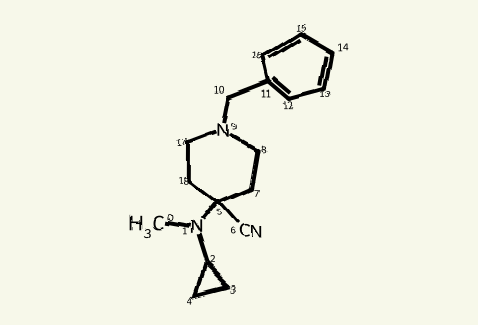 CN(C1CC1)C1(C#N)CCN(Cc2ccccc2)CC1